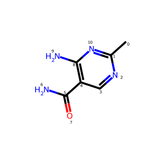 Cc1ncc(C(N)=O)c(N)n1